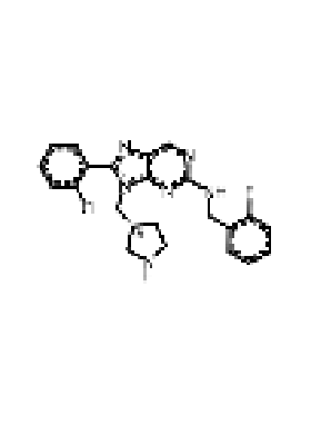 Fc1ccccc1CNc1ncc2nc(-c3ccccc3Cl)n(C[C@H]3CCNC3)c2n1